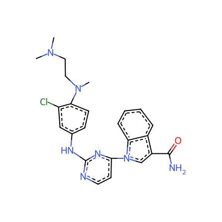 CN(C)CCN(C)c1ccc(Nc2nccc(-n3cc(C(N)=O)c4ccccc43)n2)cc1Cl